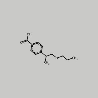 CCCOCC(C)c1ccc(C(=O)O)cc1